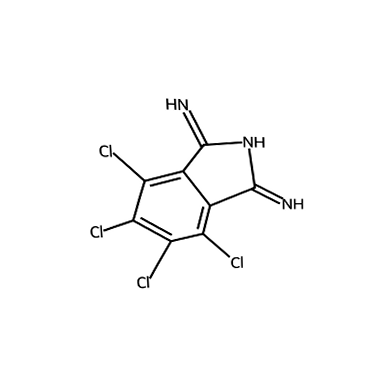 N=C1NC(=N)c2c(Cl)c(Cl)c(Cl)c(Cl)c21